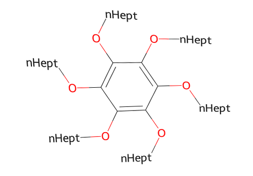 CCCCCCCOc1c(OCCCCCCC)c(OCCCCCCC)c(OCCCCCCC)c(OCCCCCCC)c1OCCCCCCC